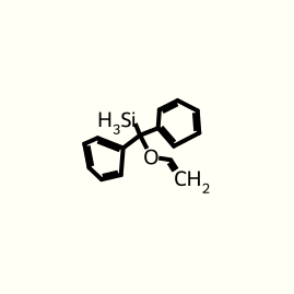 C=COC([SiH3])(c1ccccc1)c1ccccc1